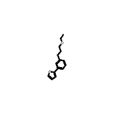 CCOCCCc1cccc(-c2ccco2)c1